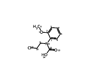 COc1ccccc1N(CCCl)C(=O)O